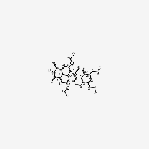 C=C(CCC)c1ccc2c3c(OCC)cc4c5c(cc(OCC)c(c6ccc(C(=C)CCC)c1c26)c53)C(=C)N(C)C4=C